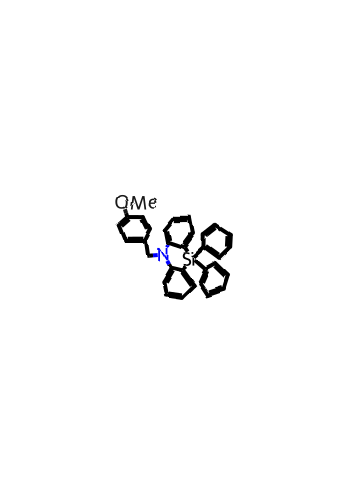 COc1ccc(CN2c3ccccc3[Si](c3ccccc3)(c3ccccc3)c3ccccc32)cc1